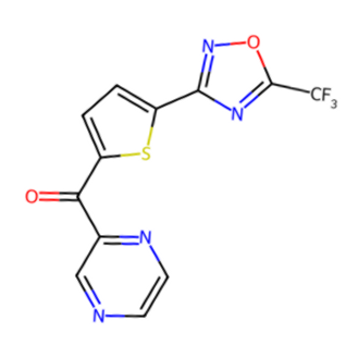 O=C(c1cnccn1)c1ccc(-c2noc(C(F)(F)F)n2)s1